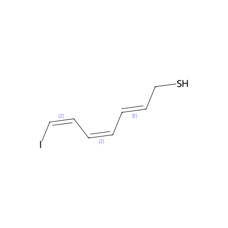 SC/C=C/C=C\C=C/I